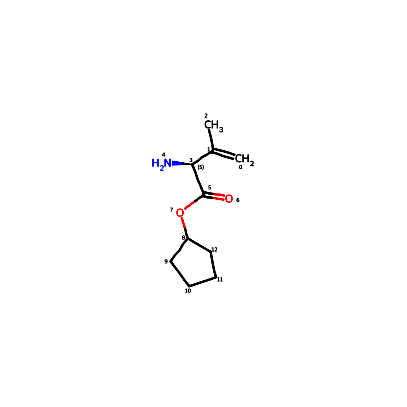 C=C(C)[C@H](N)C(=O)OC1CCCC1